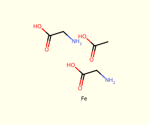 CC(=O)O.NCC(=O)O.NCC(=O)O.[Fe]